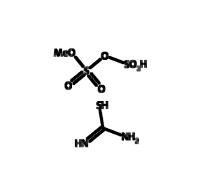 COS(=O)(=O)OS(=O)(=O)O.N=C(N)S